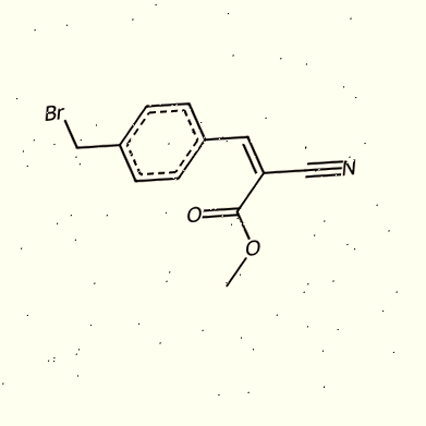 COC(=O)C(C#N)=Cc1ccc(CBr)cc1